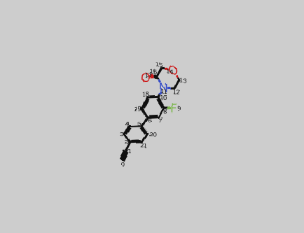 C#Cc1ccc(-c2[c]c(F)c(N3CCOCC3=O)cc2)cc1